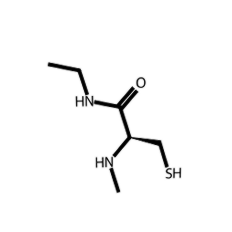 CCNC(=O)[C@@H](CS)NC